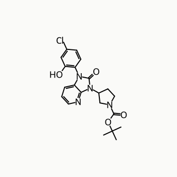 CC(C)(C)OC(=O)N1CCC(n2c(=O)n(-c3ccc(Cl)cc3O)c3cccnc32)C1